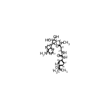 CN(C[C@H]1O[C@@H](n2cnc3c(N)ncnc32)[C@H](O)[C@@H]1O)C(=O)CCNC(=O)Nc1ccc(C(C)(C)C)cc1